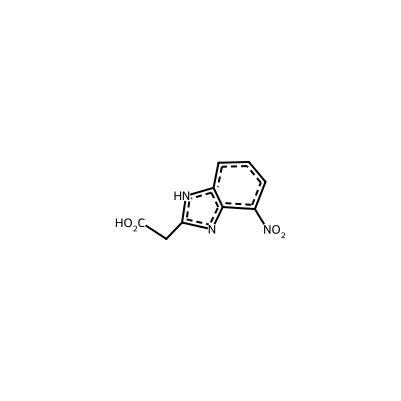 O=C(O)Cc1nc2c([N+](=O)[O-])cccc2[nH]1